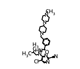 CC(C)CN(NC(=O)c1cccc(CN2CCC(N3CCN(C)CC3)CC2)c1)c1nc(C#N)ncc1Cl